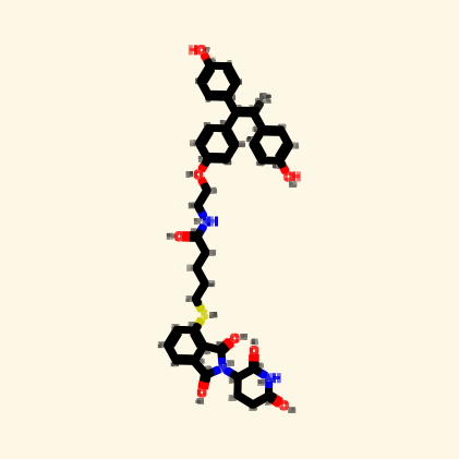 CCC(=C(c1ccc(O)cc1)c1ccc(OCCNC(=O)CCCCSc2cccc3c2C(=O)N(C2CCC(=O)NC2=O)C3=O)cc1)c1ccc(O)cc1